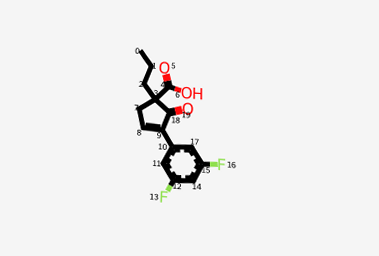 CCCC1(C(=O)O)CC=C(c2cc(F)cc(F)c2)C1=O